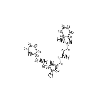 Clc1sc(CCNCCc2nc3ccccc3[nH]2)nc1CNCc1ccccn1